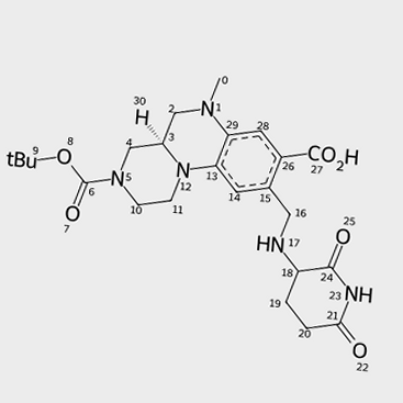 CN1C[C@@H]2CN(C(=O)OC(C)(C)C)CCN2c2cc(CNC3CCC(=O)NC3=O)c(C(=O)O)cc21